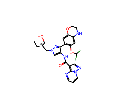 CC[C@@H](CO)Cn1cc(NC(=O)c2cnn3cccnc23)c(-c2cc3c(cc2OC(F)F)NCCO3)n1